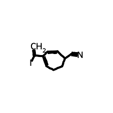 C=C(I)C1=CCCC(C#N)C=C1